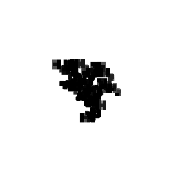 CN[C@@H](C)C(=O)CN[C@@H](CCCNC(N)N)C(=O)N[C@@H](CC(C)C)C(=O)C(=O)[C@H](CCCNC(N)N)NC(=O)[C@H](CCCNC(N)N)NC(=O)[C@@H](N)CC(C)C